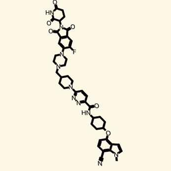 Cn1ccc2c(OC3CCC(NC(=O)c4ccc(N5CCC(CN6CCN(c7cc8c(cc7F)C(=O)N(C7CCC(=O)NC7=O)C8=O)CC6)CC5)nn4)CC3)ccc(C#N)c21